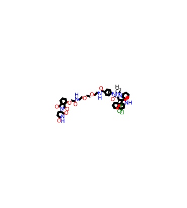 CCN1[C@@H](C(=O)NC23CCC(C(=O)NCCOCCOCCNC(=O)COc4cccc5c4C(=O)N(C4CCC(=O)NC4=O)C5=O)(CC2)CC3)[C@H](c2cccc(Cl)c2F)[C@]2(C(=O)Nc3cc(Cl)ccc32)C12CCCCC2